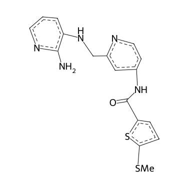 CSc1ccc(C(=O)Nc2ccnc(CNc3cccnc3N)c2)s1